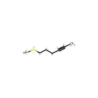 CC[CH]SCCCC#CC(F)(F)F